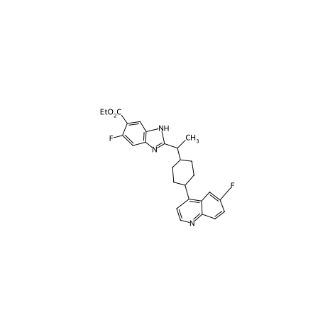 CCOC(=O)c1cc2[nH]c(C(C)C3CCC(c4ccnc5ccc(F)cc45)CC3)nc2cc1F